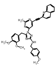 COc1ccc(CNc2nc(Cc3ccc(OC)c(OC)c3)n(-c3cc(C#Cc4ccc5ccccc5n4)nc(C)n3)n2)cc1